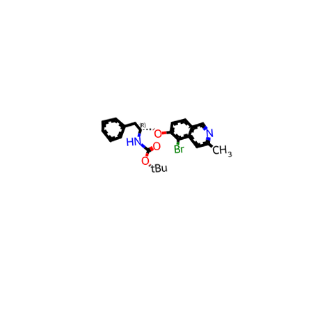 Cc1cc2c(Br)c(OC[C@@H](Cc3ccccc3)NC(=O)OC(C)(C)C)ccc2cn1